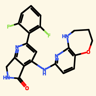 O=C1NCc2nc(-c3c(F)cccc3F)cc(Nc3ccc4c(n3)NCCCO4)c21